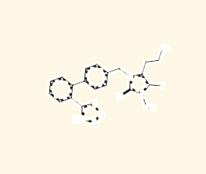 CCCn1c(F)c(CCC(C)C)n(Cc2ccc(-c3ccccc3-c3nnn[nH]3)cc2)c1=O